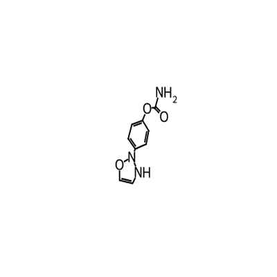 NC(=O)Oc1ccc(N2NC=CO2)cc1